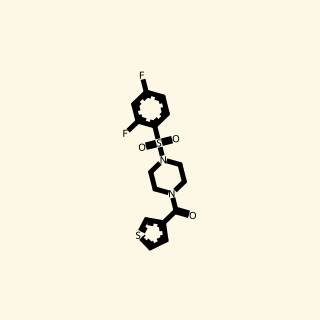 O=C(c1ccsc1)N1CCN(S(=O)(=O)c2ccc(F)cc2F)CC1